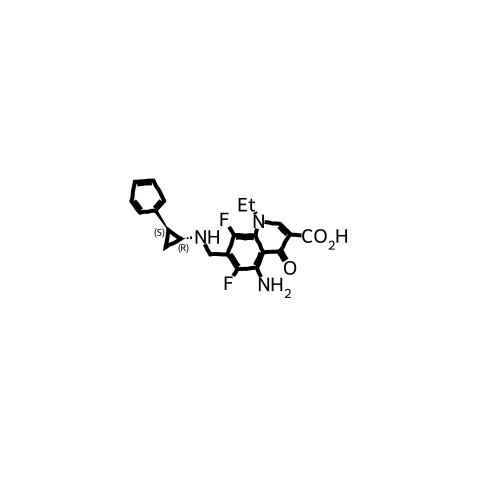 CCn1cc(C(=O)O)c(=O)c2c(N)c(F)c(CN[C@@H]3C[C@H]3c3ccccc3)c(F)c21